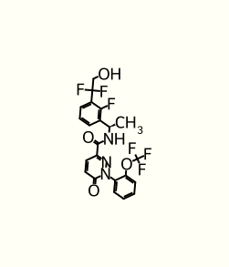 C[C@@H](NC(=O)c1ccc(=O)n(-c2ccccc2OC(F)(F)F)n1)c1cccc(C(F)(F)CO)c1F